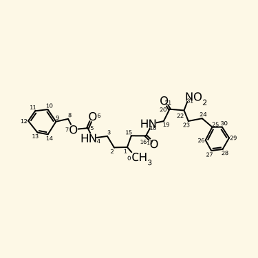 CC(CCNC(=O)OCc1ccccc1)CC(=O)NCC(=O)C(CCc1ccccc1)[N+](=O)[O-]